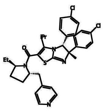 CC[C@@H]1CC[C@@H](Cc2ccncc2)N1C(=O)C1=C(C(C)C)N2C(=N[C@@](C)(c3ccc(Cl)cc3)[C@H]2c2ccc(Cl)cc2)S1